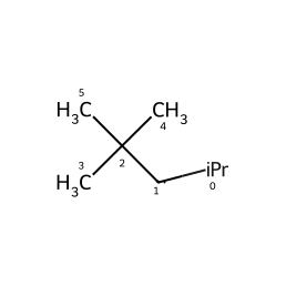 [CH2]C(C)[CH]C(C)(C)C